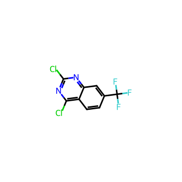 FC(F)(F)c1ccc2c(Cl)nc(Cl)nc2c1